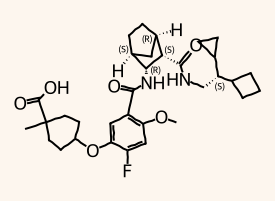 COc1cc(F)c(OC2CCC(C)(C(=O)O)CC2)cc1C(=O)N[C@@H]1[C@H]2CC[C@H](C2)[C@@H]1C(=O)NC[C@@H](C1CCC1)C1CC1